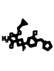 NC(=O)C1(C(=O)OCC2CC2)CC(F)(c2ccc(CN3CCCC3)c(Cl)c2)C1